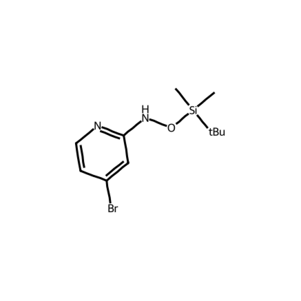 CC(C)(C)[Si](C)(C)ONc1cc(Br)ccn1